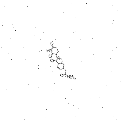 NC(=O)Cc1ccc2c(c1)CN(C1CCC(=O)NC1=O)C2=O